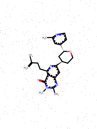 C=C(CCc1nc([C@@H]2CCO[C@@H](c3ccnc(C)c3)C2)cc2nc(C)n(C)c(=O)c12)C(F)(F)F